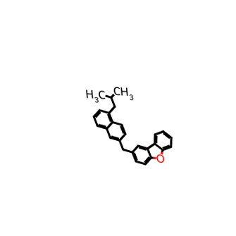 CC(C)Cc1cccc2cc(Cc3ccc4oc5ccccc5c4c3)ccc12